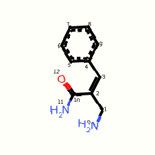 NCC(=Cc1ccccc1)C(N)=O